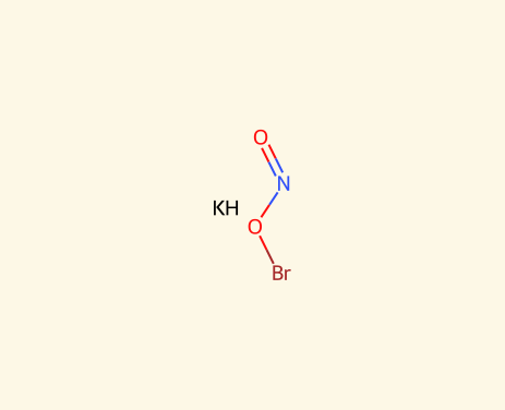 O=NOBr.[KH]